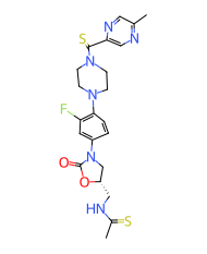 CC(=S)NC[C@H]1CN(c2ccc(N3CCN(C(=S)c4cnc(C)cn4)CC3)c(F)c2)C(=O)O1